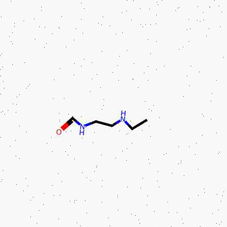 CCNCCN[C]=O